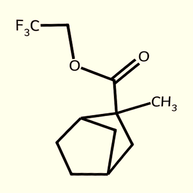 CC1(C(=O)OCC(F)(F)F)CC2CCC1C2